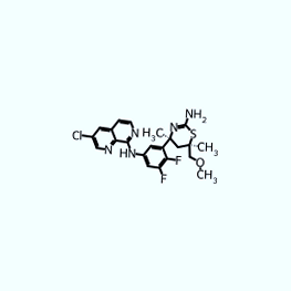 COC[C@@]1(C)C[C@@](C)(c2cc(Nc3nccc4cc(Cl)cnc34)cc(F)c2F)N=C(N)S1